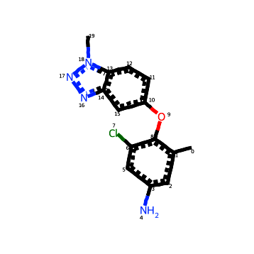 Cc1cc(N)cc(Cl)c1Oc1ccc2c(c1)nnn2C